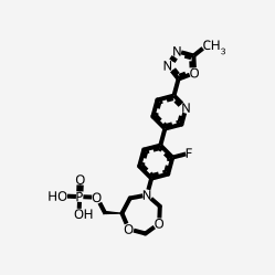 Cc1nnc(-c2ccc(-c3ccc(N4COCO[C@@H](COP(=O)(O)O)C4)cc3F)cn2)o1